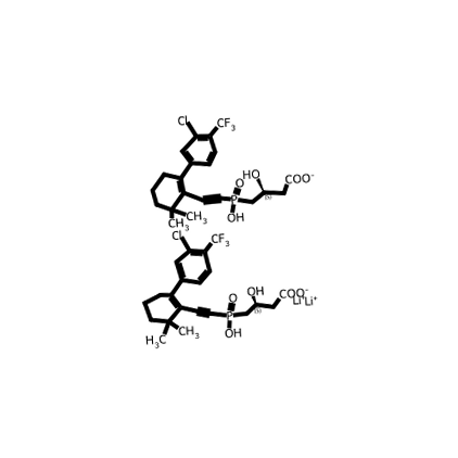 CC1(C)CCCC(c2ccc(C(F)(F)F)c(Cl)c2)=C1C#CP(=O)(O)C[C@@H](O)CC(=O)[O-].CC1(C)CCCC(c2ccc(C(F)(F)F)c(Cl)c2)=C1C#CP(=O)(O)C[C@@H](O)CC(=O)[O-].[Li+].[Li+]